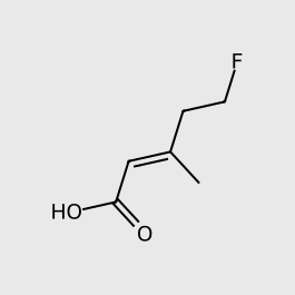 C/C(=C\C(=O)O)CCF